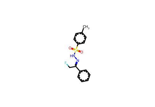 Cc1ccc(S(=O)(=O)NN=C(CF)c2ccccc2)cc1